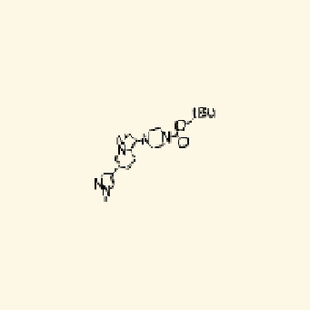 Cn1cc(-c2ccc3c(N4CCN(C(=O)OCC(C)(C)C)CC4)cnn3c2)cn1